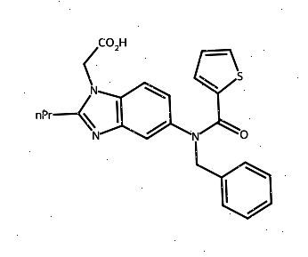 CCCc1nc2cc(N(Cc3ccccc3)C(=O)c3cccs3)ccc2n1CC(=O)O